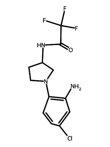 Nc1cc(Cl)ccc1N1CCC(NC(=O)C(F)(F)F)C1